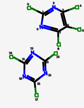 Clc1nc(Cl)c(Cl)c(Cl)n1.Clc1nc(Cl)nc(Cl)n1